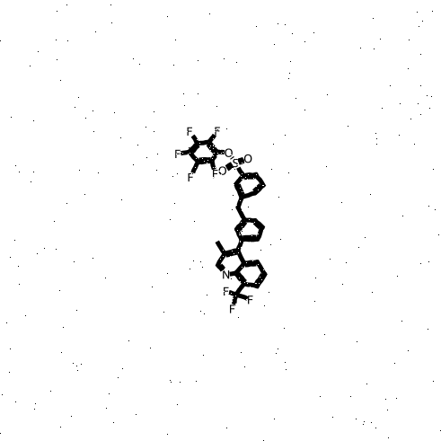 Cc1cnc2c(C(F)(F)F)cccc2c1-c1cccc(Cc2cccc(S(=O)(=O)Oc3c(F)c(F)c(F)c(F)c3F)c2)c1